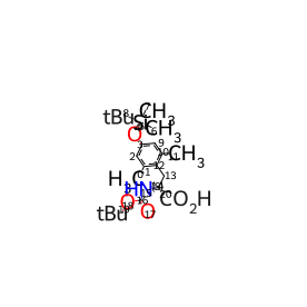 Cc1cc(O[Si](C)(C)C(C)(C)C)cc(C)c1C[C@H](NC(=O)OC(C)(C)C)C(=O)O